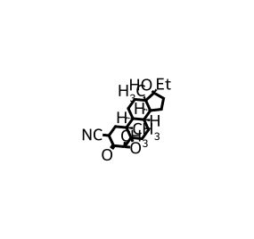 CC[C@@]1(O)CC[C@H]2[C@@H]3CCC45OC4(C)C(=O)C(C#N)C[C@]5(C)[C@H]3CC[C@@]21C